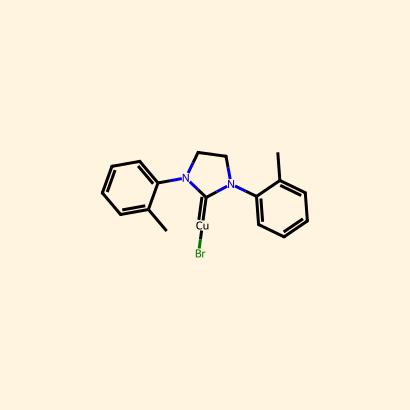 Cc1ccccc1N1CCN(c2ccccc2C)[C]1=[Cu][Br]